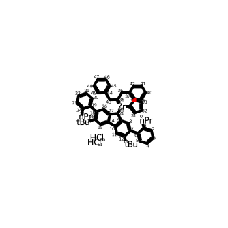 CCCc1ccccc1-c1cc2c(cc1C(C)(C)C)-c1cc(C(C)(C)C)c(-c3ccccc3CCC)cc1[CH]2[Zr]([C]1=CC=CC1)=[C](Cc1ccccc1)Cc1ccccc1.Cl.Cl